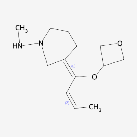 C/C=C\C(OC1COC1)=C1\CCCN(NC)C1